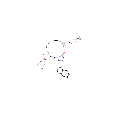 CC[C@@H]1C[C@H](C)CC/C=C\[C@@H]2C[C@]2(OC(=O)NS(=O)(=O)C2(C)CC2)NC(=O)[C@@H]2C[C@@H](Oc3nccc4cc(OC)c(F)cc34)CN2C(=O)[C@H]1NC(=O)N1CCN(C)CC1